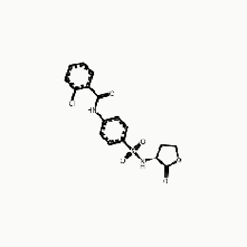 O=C(Nc1ccc(S(=O)(=O)N[C@H]2CCOC2=O)cc1)c1ccccc1Cl